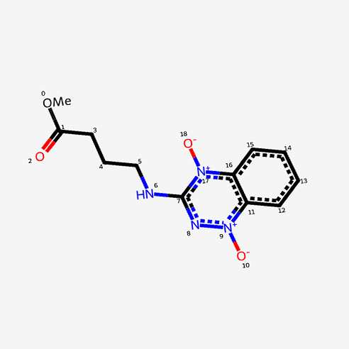 COC(=O)CCCNc1n[n+]([O-])c2ccccc2[n+]1[O-]